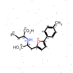 Cc1ccc(-c2ccc(C[C@H](N[C@@H](CC(C)C)C(=O)O)C(=O)O)o2)cc1